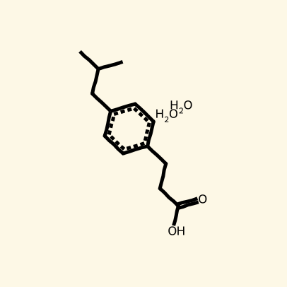 CC(C)Cc1ccc(CCC(=O)O)cc1.O.O